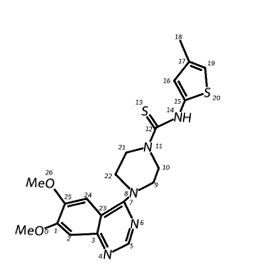 COc1cc2ncnc(N3CCN(C(=S)Nc4cc(C)cs4)CC3)c2cc1OC